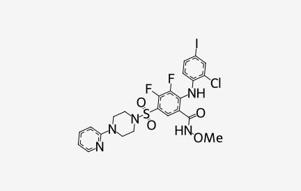 CONC(=O)c1cc(S(=O)(=O)N2CCN(c3ccccn3)CC2)c(F)c(F)c1Nc1ccc(I)cc1Cl